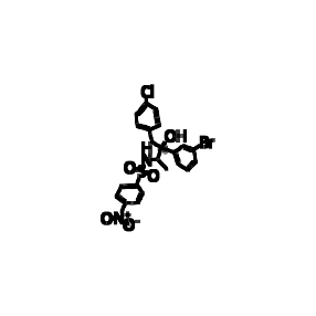 CC(NS(=O)(=O)c1ccc([N+](=O)[O-])cc1)[C@](O)(Cc1ccc(Cl)cc1)c1cccc(Br)c1